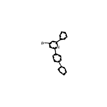 Brc1cc(-c2ccccc2)nc(-c2ccc(-c3ccccc3)cc2)c1